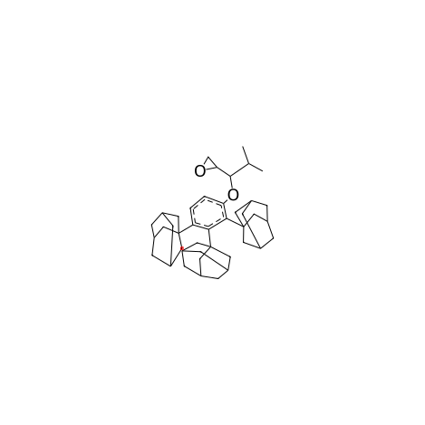 CC(C)C(Oc1ccc(C23CC4CC(CC(C4)C2)C3)c(C23CC4CC(CC(C4)C2)C3)c1C12CC3CC(CC(C3)C1)C2)C1CO1